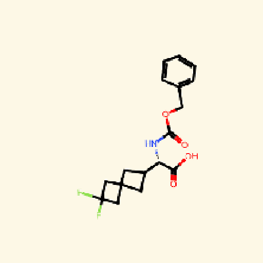 O=C(N[C@H](C(=O)O)C1CC2(C1)CC(F)(F)C2)OCc1ccccc1